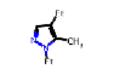 [CH2]Cc1cnn(CC)c1C